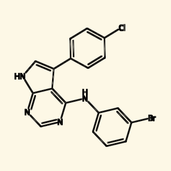 Clc1ccc(-c2c[nH]c3ncnc(Nc4cccc(Br)c4)c23)cc1